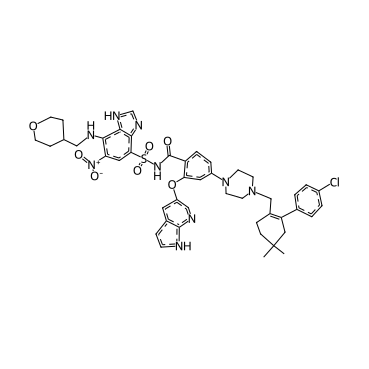 CC1(C)CCC(CN2CCN(c3ccc(C(=O)NS(=O)(=O)c4cc([N+](=O)[O-])c(NCC5CCOCC5)c5[nH]cnc45)c(Oc4cnc5[nH]ccc5c4)c3)CC2)=C(c2ccc(Cl)cc2)C1